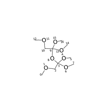 COCC(OC)(OC)OC(COC)(OC)OC